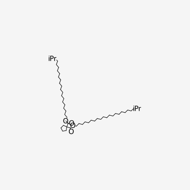 CC(C)CCCCCCCCCCCCCCCCCCCOC(=O)C1(C(=O)OCCCCCCCCCCCCCCCCCCCC(C)C)CCCC1